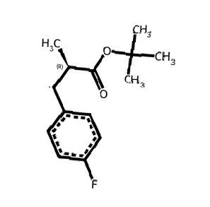 C[C@H]([CH]c1ccc(F)cc1)C(=O)OC(C)(C)C